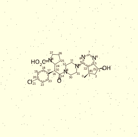 C[C@@H]1C[C@H](O)c2ncnc(N3CCN(C(=O)[C@@H](c4ccc(Cl)cc4)C4CCCN4C(=O)O)CC3)c21